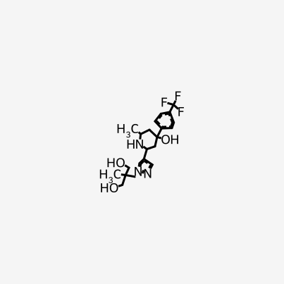 CC1CC(O)(c2ccc(C(F)(F)F)cc2)CC(c2cnn(CC(C)(CO)CO)c2)N1